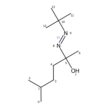 CC(C)CCC(C)(O)/N=N/C(C)(C)C